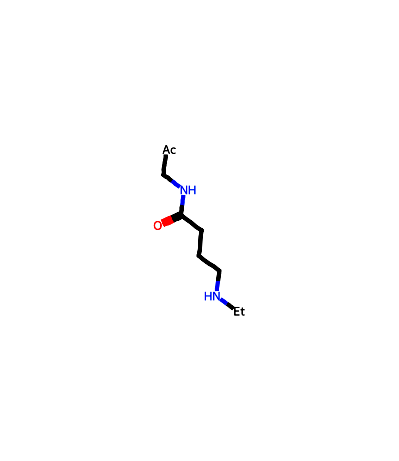 CCNCCCC(=O)NCC(C)=O